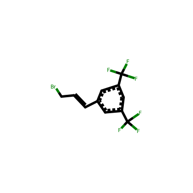 FC(F)(F)c1cc(C=CCBr)cc(C(F)(F)F)c1